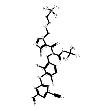 CC(C)(C)OC(=O)N(Cc1ccc(Cl)c(Oc2cc(C#N)cc(C=O)c2)c1F)C(=O)c1c(Cl)ncn1COCC[Si](C)(C)C